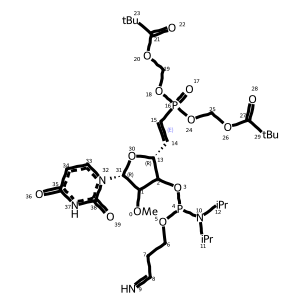 COC1C(OP(OCCC=N)N(C(C)C)C(C)C)[C@@H](/C=C/P(=O)(OCOC(=O)C(C)(C)C)OCOC(=O)C(C)(C)C)O[C@H]1n1ccc(=O)[nH]c1=O